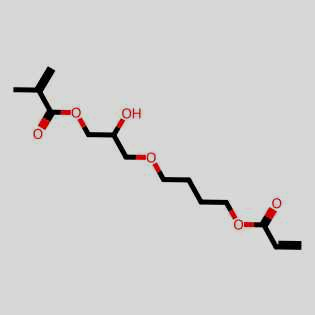 C=CC(=O)OCCCCOCC(O)COC(=O)C(=C)C